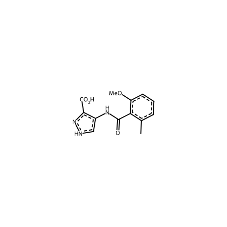 COc1cccc(C)c1C(=O)Nc1c[nH]nc1C(=O)O